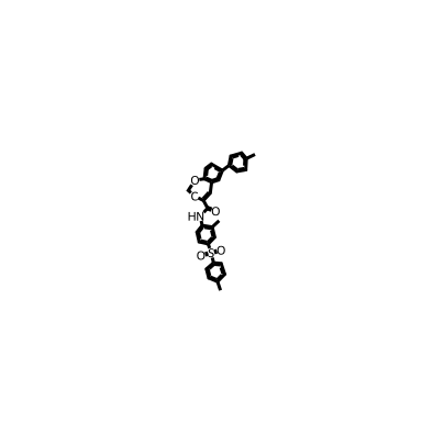 Cc1ccc(-c2ccc3c(c2)C=C(C(=O)Nc2ccc(S(=O)(=O)c4ccc(C)cc4)cc2C)CCO3)cc1